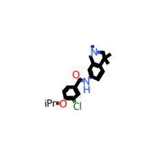 CC(C)Oc1ccc(C(=O)Nc2ccc3c(c2)CN(C)CC3(C)C)cc1Cl